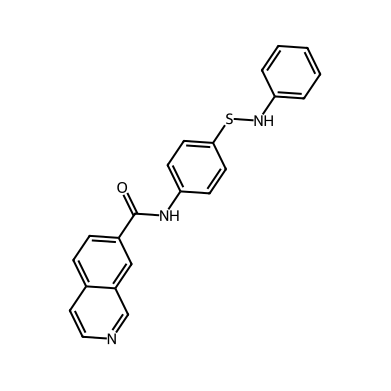 O=C(Nc1ccc(SNc2ccccc2)cc1)c1ccc2ccncc2c1